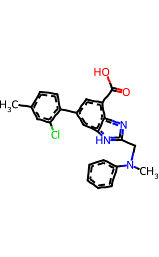 Cc1ccc(-c2cc(C(=O)O)c3nc(CN(C)c4ccccc4)[nH]c3c2)c(Cl)c1